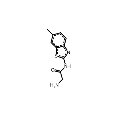 Cc1ccc2nc(NC(=O)CN)sc2c1